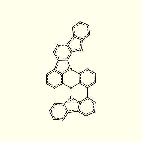 c1cc2c3c(c1)-n1c4c(cccc4c4ccc5c6ccccc6oc5c41)B3n1c3ccccc3c3cccc-2c31